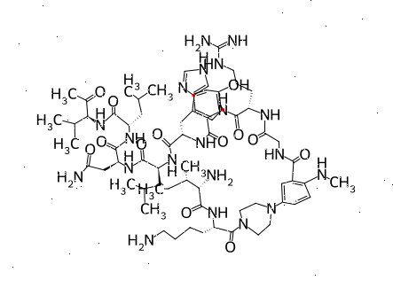 CC[C@H](C)[C@H](N)C(=O)N[C@@H](CCCCN)C(=O)N1CCN(c2ccc(NC)c(C(=O)NCC(=O)N[C@@H](CCCNC(=N)N)C(=O)N[C@@H](Cc3c[nH]cn3)C(=O)N[C@@H](Cc3ccc(O)cc3)C(=O)N[C@@H](CC(C)C)C(=O)N[C@@H](CC(N)=O)C(=O)N[C@@H](CC(C)C)C(=O)N[C@H](C(C)=O)C(C)C)c2)CC1